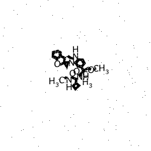 CCNC(=O)[C@H](NC(=O)C(C)(COC)c1ccc2[nH]c(C[C@H]3c4ccccc4OCC34CC4)nc2c1)C1CCC1